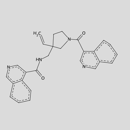 C=CC1(CNC(=O)c2cncc3ccccc23)CCN(C(=O)c2cncc3ccccc23)C1